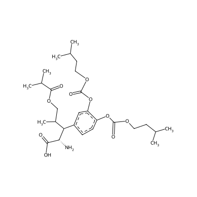 CC(C)CCOC(=O)Oc1ccc(C(C(C)COC(=O)C(C)C)[C@H](N)C(=O)O)cc1OC(=O)OCCC(C)C